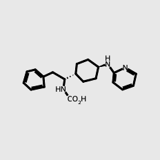 O=C(O)NC(Cc1ccccc1)[C@H]1CC[C@H](Nc2ccccn2)CC1